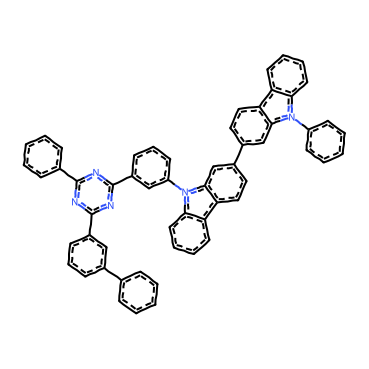 c1ccc(-c2cccc(-c3nc(-c4ccccc4)nc(-c4cccc(-n5c6ccccc6c6ccc(-c7ccc8c9ccccc9n(-c9ccccc9)c8c7)cc65)c4)n3)c2)cc1